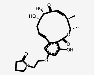 C[C@@H]1/C=C\C(=O)[C@@H](O)[C@@H](O)C/C=C/c2cc(OCCN3CCCC3=O)cc(O)c2C(=O)O[C@H]1C